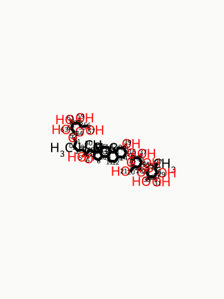 CC(CCC1(O)OC2CC3C4CCC5CC(OC6OC(CO)C(OC7OC(C)C(O)C(O)C7O)C(O)C6O)C(O)CC5(C)C4CCC3(C)C2C1C)COC1OC(CO)C(O)C(O)C1O